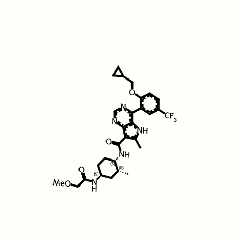 COCC(=O)N[C@H]1CC[C@H](NC(=O)c2c(C)[nH]c3c(-c4cc(C(F)(F)F)ccc4OCC4CC4)ncnc23)[C@H](C)C1